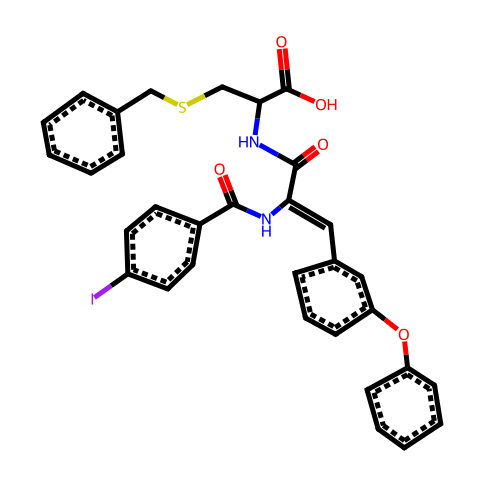 O=C(NC(CSCc1ccccc1)C(=O)O)C(=Cc1cccc(Oc2ccccc2)c1)NC(=O)c1ccc(I)cc1